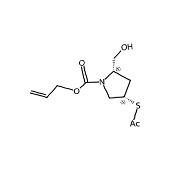 C=CCOC(=O)N1C[C@@H](SC(C)=O)C[C@H]1CO